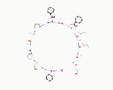 CCCC[C@H]1C(=O)N(C)[C@@H](CCCC)C(=O)N[C@@H](CO)C(=O)N[C@H](C(=O)NCC(N)=O)CSCC(=O)N[C@@H](Cc2ccc(O)cc2)C(=O)N(C)[C@@H](C)C(=O)N[C@@H](CC(=O)O)C(=O)N2CCC[C@H]2C(=O)N[C@@H](CO)C(=O)N[C@@H](CO)C(=O)N2C[C@H](O)C[C@H]2C(=O)N[C@@H](Cc2c[nH]c3ccccc23)C(=O)N[C@@H](CO)C(=O)N[C@@H](Cc2c[nH]c3ccccc23)C(=O)N1C